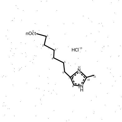 CCCCCCCCCCCCCCc1c[nH]c(C)n1.Cl